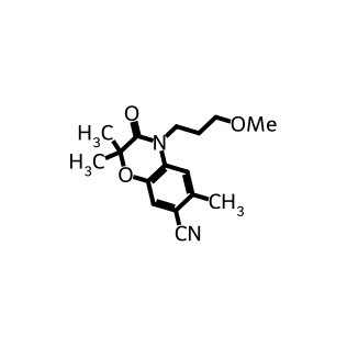 COCCCN1C(=O)C(C)(C)Oc2cc(C#N)c(C)cc21